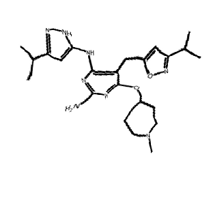 CC(C)c1cc(Nc2nc(N)nc(OC3CCN(C)CC3)c2Cc2cc(C(C)C)no2)[nH]n1